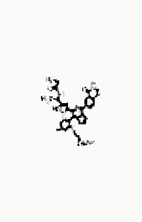 C=CC(=O)NC(C)c1cc(-c2nc(-c3ccc4c(c3)C(=O)NCC4)c3ccsc3c2-c2c(F)cc(F)cc2OCCOC)n[nH]1